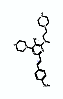 COc1ccc(/C=C/c2nc(N(C)CCN3CCNCC3)c(N)c(N3CCNCC3)n2)cc1